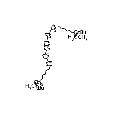 CC(C)(C)[Si](C)(C)OCCCCCCc1ccc(-c2ccc(-c3cc4cc(-c5ccc(-c6ccc(CCCCCCO[Si](C)(C)C(C)(C)C)s6)s5)sc4s3)s2)s1